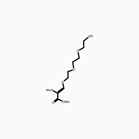 COC(=O)C(=COCCOCCOCCO)OC